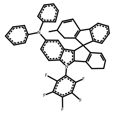 CC1C=CC2=C(C1)C1(C3=C(CCC=C3)c3c1c1cc(N(c4ccccc4)c4ccccc4)ccc1n3-c1c(F)c(F)c(F)c(F)c1F)c1ccccc12